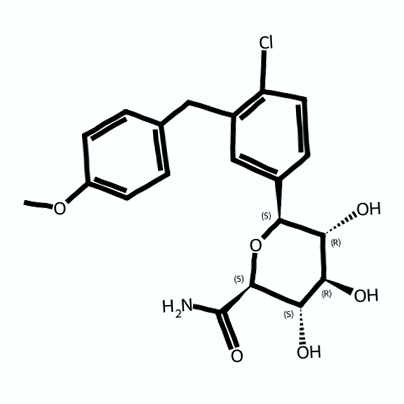 COc1ccc(Cc2cc([C@@H]3O[C@H](C(N)=O)[C@@H](O)[C@H](O)[C@H]3O)ccc2Cl)cc1